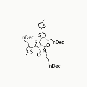 CCCCCCCCCCCCCCN1C(=O)c2c(-c3sc(C)cc3CCCCCCCCCCCC)sc(-c3sc(-c4ccc(C)s4)cc3CCCCCCCCCCCC)c2C1=O